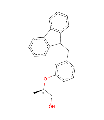 C[C@H](CO)Oc1[c]c(CC2c3ccccc3-c3ccccc32)ccc1